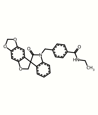 CCNC(=O)c1ccc(CN2C(=O)C3(COc4cc5c(cc43)OCO5)c3ccccc32)cc1